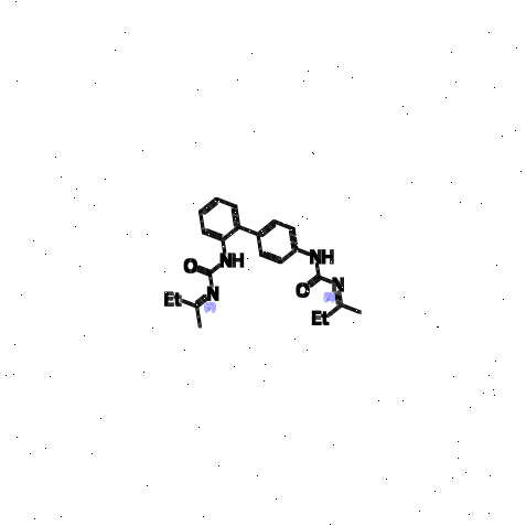 CC/C(C)=N\C(=O)Nc1ccc(-c2ccccc2NC(=O)/N=C(/C)CC)cc1